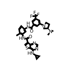 Cc1ccc(NC(=O)c2cc(N3CC[C@@H](N(C)C)C3)cc(C(F)(F)F)c2)cc1NC(=O)c1csc2c(NC3CC3)ncnc12